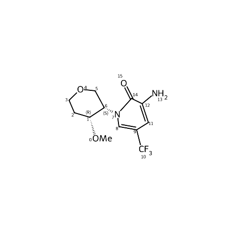 CO[C@@H]1CCOC[C@@H]1n1cc(C(F)(F)F)cc(N)c1=O